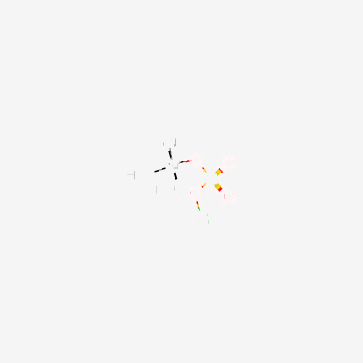 C[Si](C)(C)OS(=O)(=O)OCl